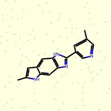 Cc1cncc(-c2nc3cc4[nH]c(C)cc4cc3[nH]2)c1